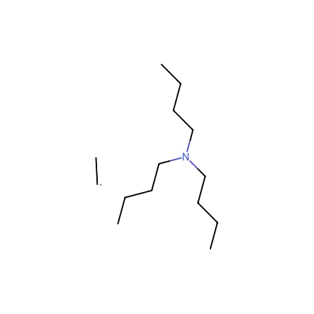 CCCCN(CCCC)CCCC.[CH2]C